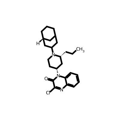 CCC[C@@H]1C[C@H](n2c(=O)c(Cl)nc3ccccc32)CCN1C1CC2CCC[C@H](C2)C1